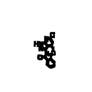 O=C1c2ccccc2C(=O)N1c1n[nH]c2nc(Cl)cc(I)c12